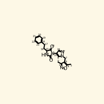 Cc1noc(C)c1Cn1cc(N2C(=O)NC(CCc3ccccc3)C2=O)cn1